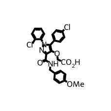 COc1ccc(CNC(=O)c2nn(-c3ccccc3Cl)c(-c3ccc(Cl)cc3)c2OCC(=O)O)cc1